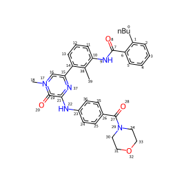 CCCCc1ccccc1C(=O)Nc1cccc(-c2cn(C)c(=O)c(Nc3ccc(C(=O)N4CCOCC4)cc3)n2)c1C